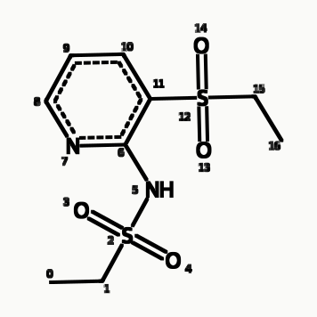 CCS(=O)(=O)Nc1ncccc1S(=O)(=O)CC